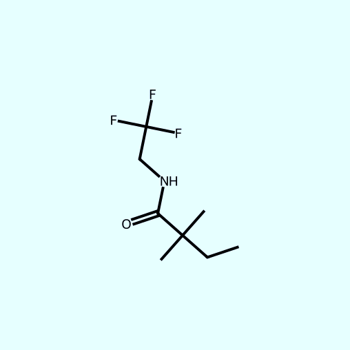 CCC(C)(C)C(=O)NCC(F)(F)F